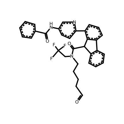 O=CCCCCN(CC(F)(F)F)C(=O)C1c2ccccc2-c2cccc(-c3ccc(NC(=O)c4ccccc4)cn3)c21